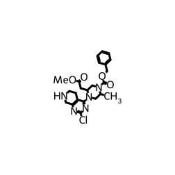 COC(=O)CC1CN(C(=O)OCc2ccccc2)C(C)CN1c1nc(Cl)nc2c1CCNC2